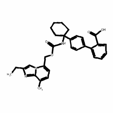 CCc1cn2c(COC(=O)NC3(c4ccc(-c5ccccc5C(=O)O)cc4)CCCCC3)ccc(C)c2n1